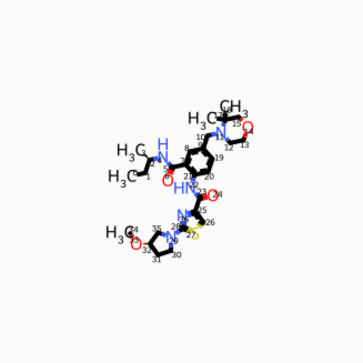 CC[C@H](C)NC(=O)c1cc(CN2CCOCC2(C)C)ccc1NC(=O)c1csc(N2CC[C@H](OC)C2)n1